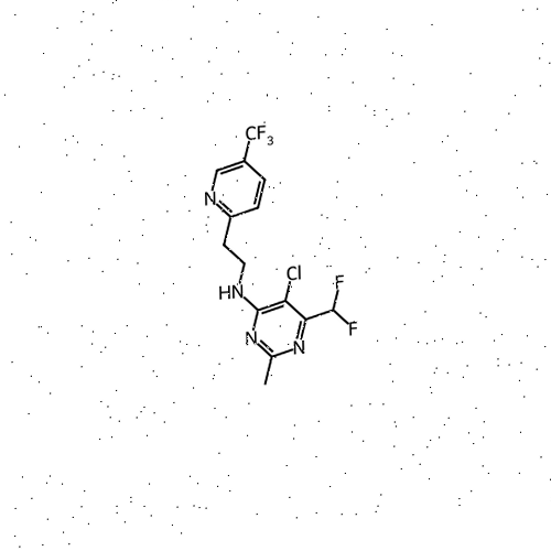 Cc1nc(NCCc2ccc(C(F)(F)F)cn2)c(Cl)c(C(F)F)n1